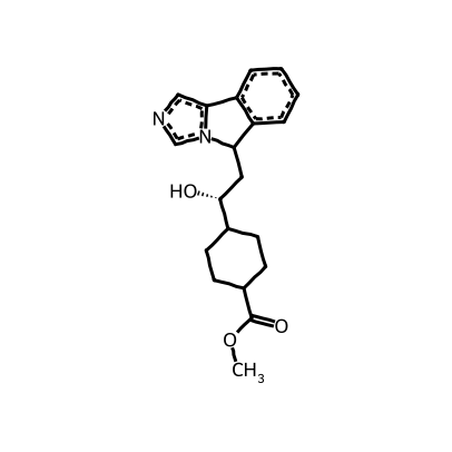 COC(=O)C1CCC([C@H](O)CC2c3ccccc3-c3cncn32)CC1